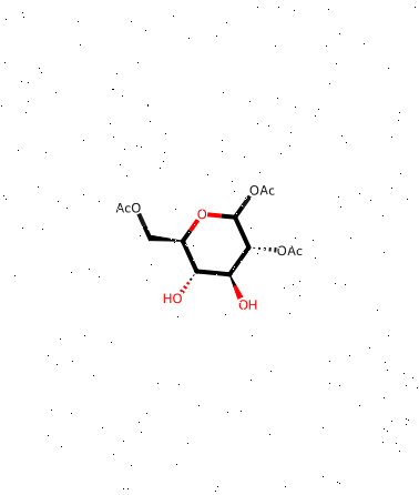 CC(=O)OC[C@H]1OC(OC(C)=O)[C@H](OC(C)=O)[C@@H](O)[C@@H]1O